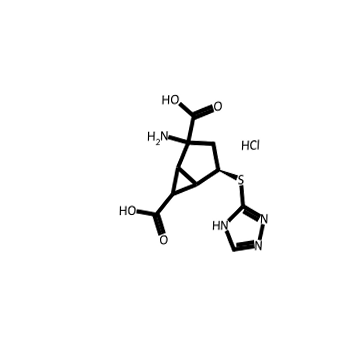 Cl.NC1(C(=O)O)C[C@@H](Sc2nnc[nH]2)C2C(C(=O)O)C21